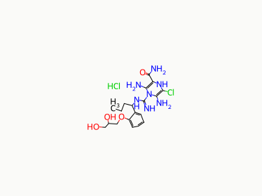 CCCC(NC(=N)N1C(N)=C(Cl)NC(C(N)=O)=C1N)c1ccccc1OCC(O)CO.Cl